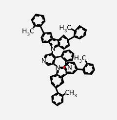 Cc1ccccc1-c1ccc2c(c1)c1cc(-c3ccccc3C)ccc1n2-c1cncc(-n2c3ccc(-c4ccccc4C)cc3c3cc(-c4ccccc4C)ccc32)c1-c1ccccc1C#N